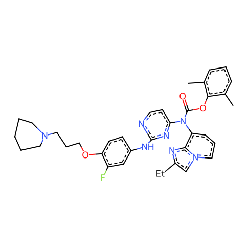 CCc1cn2cccc(N(C(=O)Oc3c(C)cccc3C)c3ccnc(Nc4ccc(OCCCN5CCCCC5)c(F)c4)n3)c2n1